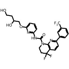 O=C(Nc1cccc(OCC(O)CCO)n1)N1CCC(F)(F)c2ccc(-c3cccc(C(F)(F)F)c3)nc21